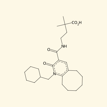 CC(C)(CCNC(=O)c1cc2c(n(CC3CCCCC3)c1=O)CCCCCC2)C(=O)O